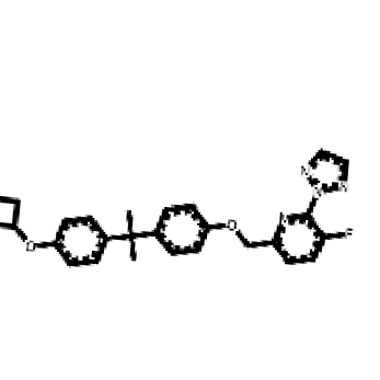 CC(C)(c1ccc(OCc2ccc(F)c(-n3nccn3)n2)cc1)c1ccc(OC2CCC2)cc1